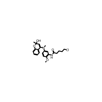 COc1ccc(N(C)C2=CC(C)(O)Oc3ccccc32)cc1NC(=O)CCCCCl